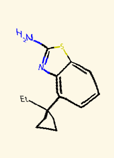 CCC1(c2cccc3sc(N)nc23)CC1